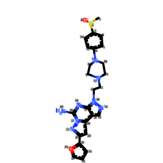 C[S+]([O-])c1ccc(N2CCN(CCn3ncc4c3nc(N)n3nc(-c5ccco5)cc43)CC2)cc1